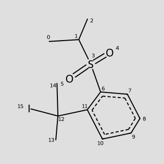 CC(C)S(=O)(=O)c1ccccc1C(C)(C)I